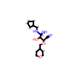 N#CC(OCC1CCOCC1)C(O)C(=N)NCC1CCCC1